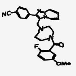 COc1ccc(F)c(C(=O)N2CCN(Cc3c(-c4ccc(C#N)cc4)nc4ccccn34)CC2)c1